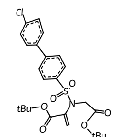 C=C(C(=O)OC(C)(C)C)N(CC(=O)OC(C)(C)C)S(=O)(=O)c1ccc(-c2ccc(Cl)cc2)cc1